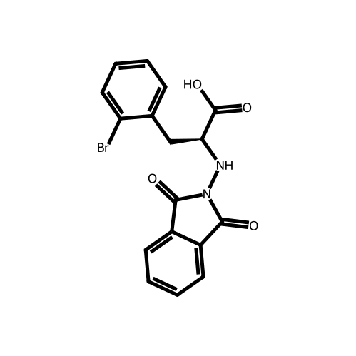 O=C(O)[C@H](Cc1ccccc1Br)NN1C(=O)c2ccccc2C1=O